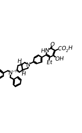 CCc1c(-c2ccc(N3C[C@H]4C[C@H](N(Cc5ccccc5)Cc5ccccc5)C[C@H]4C3)cc2)[nH]c(=O)c(C(=O)O)c1O